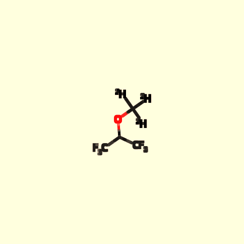 [2H]C([2H])([2H])OC(C(F)(F)F)C(F)(F)F